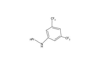 CCCNc1cc(C(F)(F)F)cc(C(F)(F)F)c1